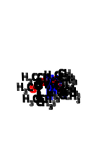 COc1cc(C(C)C)c(OC2=CNC(N)(C(CO[Si](C)(C)C(C)(C)C)C(C)(C)O[SiH2]C(C)(C)C)N=C2N)cc1C#C[Si](C)(C)C